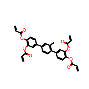 C=CC(=O)Oc1ccc(-c2ccc(-c3ccc(OC(=O)C=C)c(OC(=O)C=C)c3)c(C)c2)cc1OC(=O)C=C